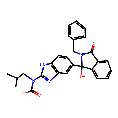 CC(C)CN(C(=O)O)c1nc2cc(C3(O)c4ccccc4C(=O)N3Cc3ccccc3)ccc2[nH]1